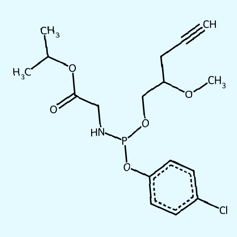 C#CCC(COP(NCC(=O)OC(C)C)Oc1ccc(Cl)cc1)OC